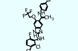 C=C(Nc1ccc(Br)cc1)c1cc2nc(Nc3c(F)ccc(Cl)c3Cl)[nH]c2cc1OCC(F)(F)F